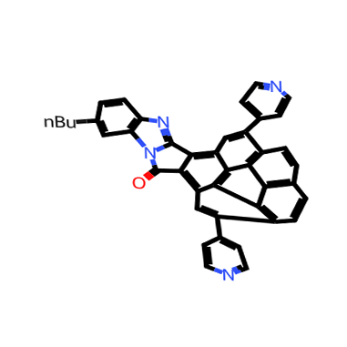 CCCCc1ccc2nc3c4c5cc(-c6ccncc6)c6ccc7ccc8c(-c9ccncc9)cc(c4c(=O)n3c2c1)c1c8c7c6c51